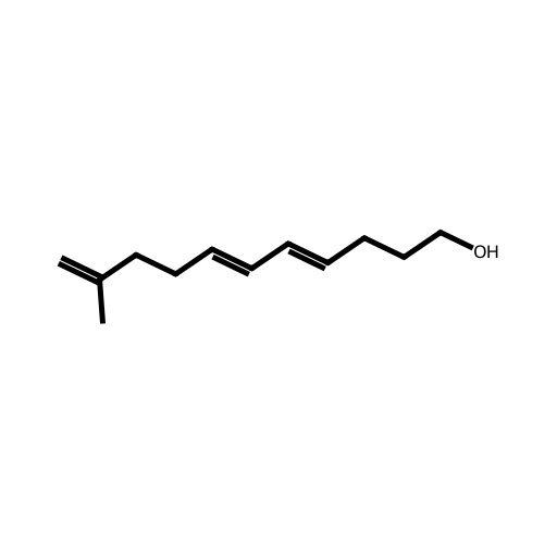 C=C(C)CCC=CC=CCCCO